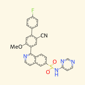 COc1cc(-c2ccc(F)cc2)c(C#N)cc1-c1nccc2cc(S(=O)(=O)Nc3ccncn3)ccc12